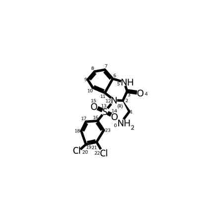 NC[C@@H]1C(=O)Nc2ccccc2N1S(=O)(=O)c1ccc(Cl)c(Cl)c1